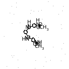 CS(=O)(=O)Nc1ccc(-c2cc(-c3cccc(-c4cc(-c5ccc(NS(C)(=O)=O)cc5)[nH]n4)c3)n[nH]2)cc1